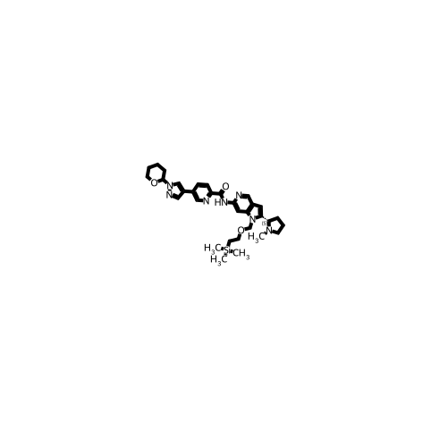 CN1CCC[C@H]1c1cc2cnc(NC(=O)c3ccc(-c4cnn(C5CCCCO5)c4)cn3)cc2n1COCC[Si](C)(C)C